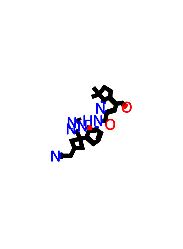 Cn1cnnc1C1(c2cccc(NC(=O)c3cc(C=O)c4c(n3)C(C)(C)CC4)c2)CC(CC#N)C1